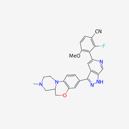 COc1ccc(C#N)c(F)c1-c1cc2c(-c3ccc4c(c3)OCC3CN(C)CCN43)n[nH]c2cn1